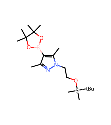 Cc1nn(CCO[Si](C)(C)C(C)(C)C)c(C)c1B1OC(C)(C)C(C)(C)O1